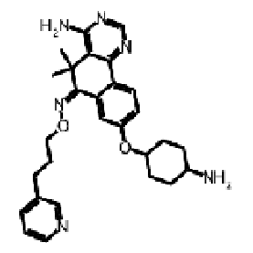 CC1(C)/C(=N/OCCCc2cccnc2)c2cc(OC3CCC(N)CC3)ccc2-c2ncnc(N)c21